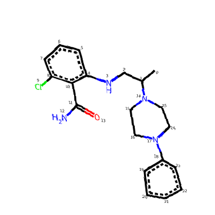 CC(CNc1cccc(Cl)c1C(N)=O)N1CCN(c2ccccc2)CC1